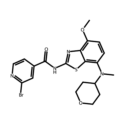 COc1ccc(N(C)C2CCOCC2)c2sc(NC(=O)c3ccnc(Br)c3)nc12